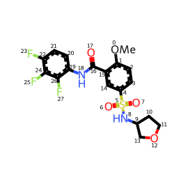 COc1ccc(S(=O)(=O)NC2CCOC2)cc1C(=O)Nc1ccc(F)c(F)c1F